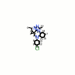 CCC1CC12CN(c1ccc(Cl)cc1)c1ccccc1-n1c(C)nnc12